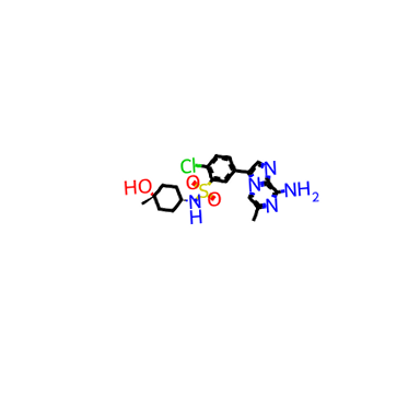 Cc1cn2c(-c3ccc(Cl)c(S(=O)(=O)N[C@H]4CC[C@@](C)(O)CC4)c3)cnc2c(N)n1